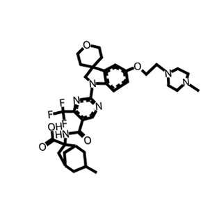 CC1CC2CC(C1)C(NC(=O)c1cnc(N3CC4(CCOCC4)c4cc(OCCN5CCN(C)CC5)ccc43)nc1C(F)(F)F)(C(=O)O)C2